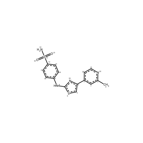 Cc1cc(-c2csc(Nc3ccc(S(N)(=O)=O)cc3)n2)ccn1